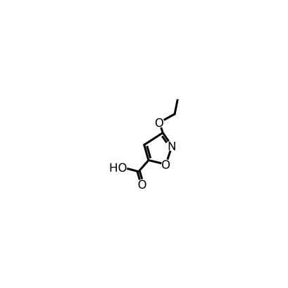 CCOc1cc(C(=O)O)on1